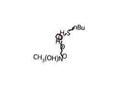 CCCCC=CCSCC[C@@H]1[C@H](CCOCCCC(=O)N(C)O)[C@@H]2CC[C@H]1O2